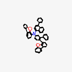 c1ccc(-c2cc(N(c3ccc(-c4ccccc4)c4ccccc34)c3cccc4c3oc3ccccc34)ccc2-c2cccc3c2oc2ccccc23)cc1